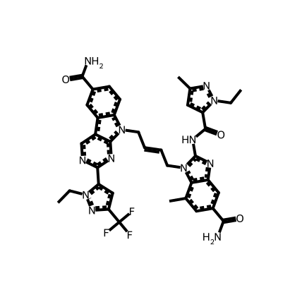 CCn1nc(C)cc1C(=O)Nc1nc2cc(C(N)=O)cc(C)c2n1CC=CCn1c2ccc(C(N)=O)cc2c2cnc(-c3cc(C(F)(F)F)nn3CC)nc21